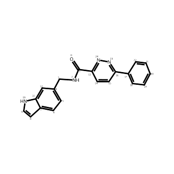 O=C(NCc1ccc2cc[nH]c2c1)c1ccc(-c2ccccc2)nn1